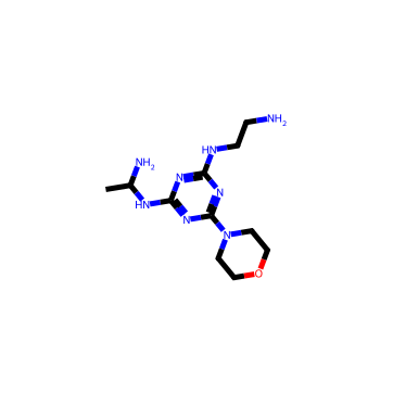 CC(N)Nc1nc(NCCN)nc(N2CCOCC2)n1